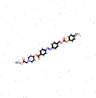 CC(C)(C)OC(=O)CN1CCC(OC(=O)c2ccc(/N=N/c3ccc(COC(=O)Oc4ccc([N+](=O)[O-])cc4)cc3)cc2)CC1